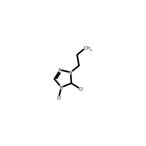 CCCN1N=CN(Cl)C1Cl